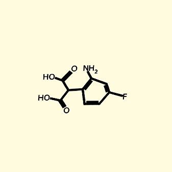 Nc1cc(F)ccc1C(C(=O)O)C(=O)O